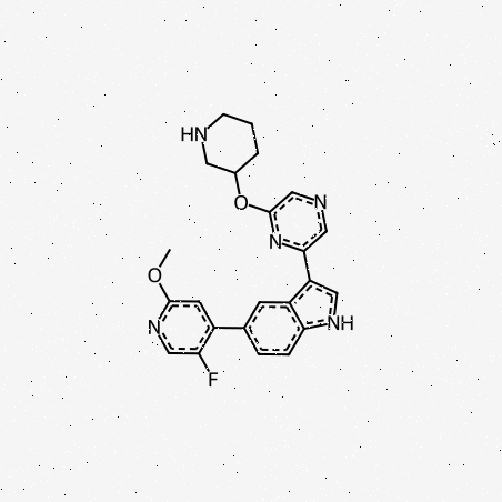 COc1cc(-c2ccc3[nH]cc(-c4cncc(OC5CCCNC5)n4)c3c2)c(F)cn1